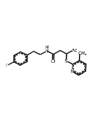 CC(=O)C(CC(=O)NCCc1ccc(F)cc1)Sc1ncccc1C